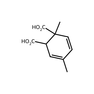 CC1=CC(C(=O)O)C(C)(C(=O)O)C=C1